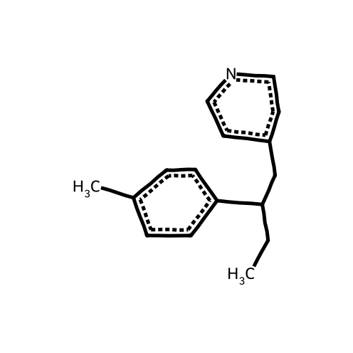 CCC(Cc1ccncc1)c1ccc(C)cc1